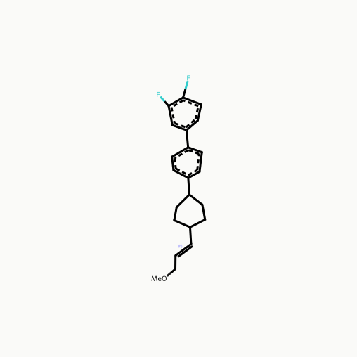 COC/C=C/C1CCC(c2ccc(-c3ccc(F)c(F)c3)cc2)CC1